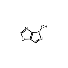 On1ncc2ocnc21